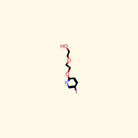 OCCOCCOc1ccc(I)cn1